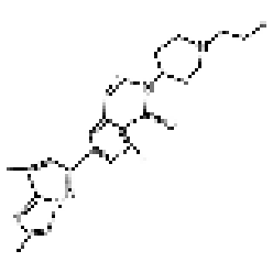 Cc1cn2nc(-c3cc(F)c4c(=O)n(C5CCN(CCF)CC5)ncc4c3)cc(C)c2n1